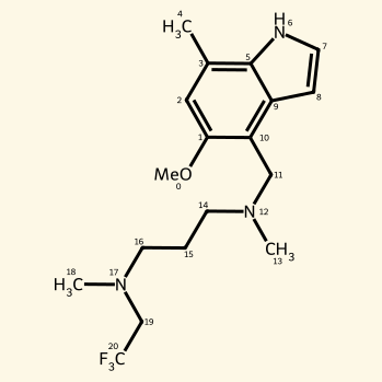 COc1cc(C)c2[nH]ccc2c1CN(C)CCCN(C)CC(F)(F)F